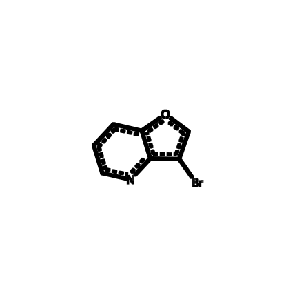 Brc1coc2cccnc12